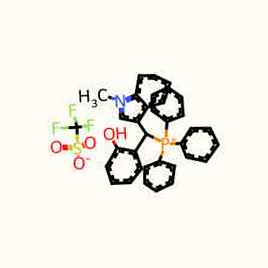 Cn1cc(C(c2ccccc2O)[P+](c2ccccc2)(c2ccccc2)c2ccccc2)c2ccccc21.O=S(=O)([O-])C(F)(F)F